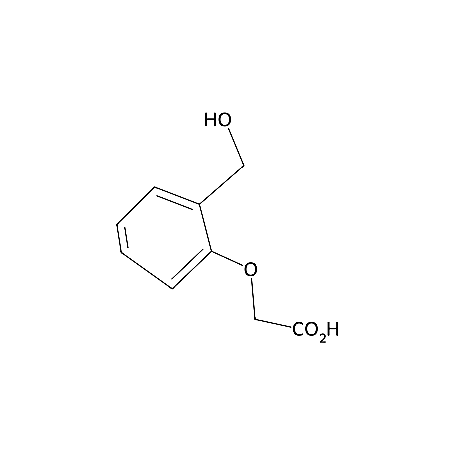 O=C(O)COc1ccccc1CO